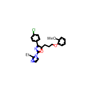 CCc1nccn1-c1nc(-c2ccc(Cl)cc2)c(CCCOc2ccccc2OC)o1